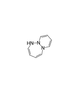 c1ccn2ccccn2[nH]c1